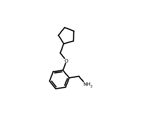 NCc1ccccc1OCC1CCCC1